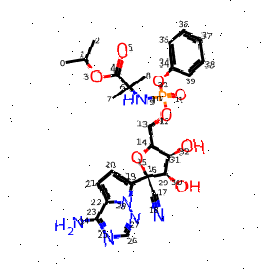 CC(C)OC(=O)C(C)(C)NP(=O)(OCC1O[C@@](C#N)(c2ccc3c(N)ncnn23)[C@H](O)[C@@H]1O)Oc1ccccc1